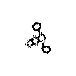 c1ccc(N2CCN(c3ccccc3)c3nc4nonc4nc32)cc1